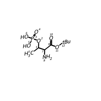 CC(OP(=O)(O)O)C(N)C(=O)OC(C)(C)C